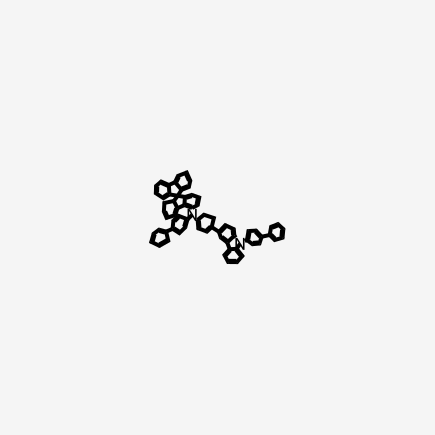 C1=CCC2C(=C1)c1c(N(C3=CC=C(c4ccc5c(c4)c4ccccc4n5-c4ccc(-c5ccccc5)cc4)CC3)c3ccc(-c4ccccc4)cc3)cccc1C21c2ccccc2-c2ccccc21